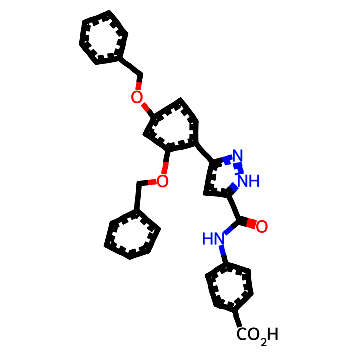 O=C(O)c1ccc(NC(=O)c2cc(-c3ccc(OCc4ccccc4)cc3OCc3ccccc3)n[nH]2)cc1